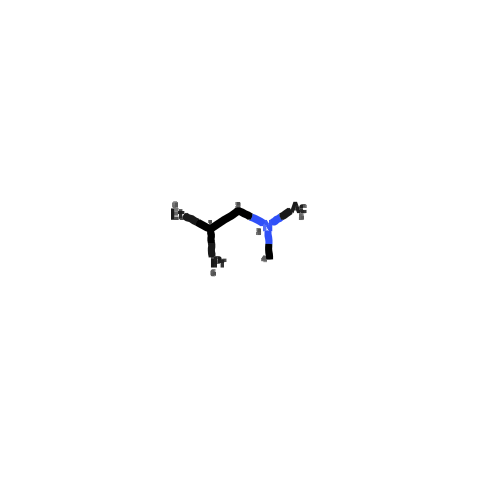 CCC(CN(C)C(C)=O)C(C)C